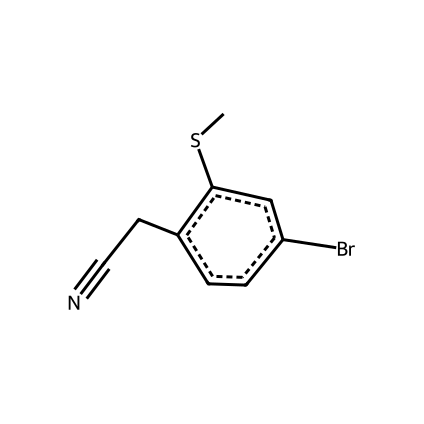 CSc1cc(Br)ccc1CC#N